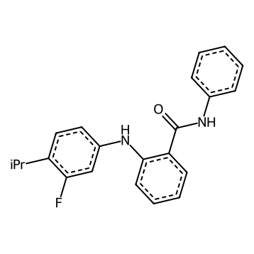 CC(C)c1ccc(Nc2ccccc2C(=O)Nc2ccccc2)cc1F